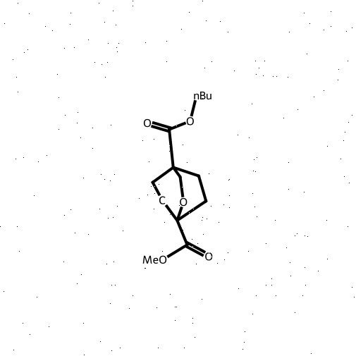 CCCCOC(=O)C12CCC(C(=O)OC)(CC1)OC2